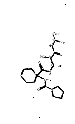 CCCCC[C@H](NC(=O)[C@H](O)[C@@H](NC(=O)C1(NC(=O)N2CCCC2)CCCCC1)C(C)C)C(C)=O